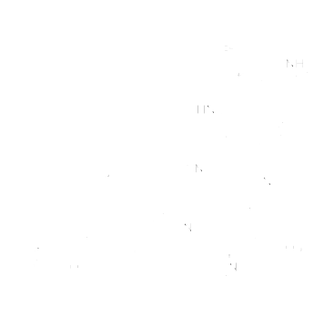 CC(C)[C@@H](Nc1cnc(C(N)=O)c(Nc2cccc(OC(F)(F)F)c2)n1)C(N)=O